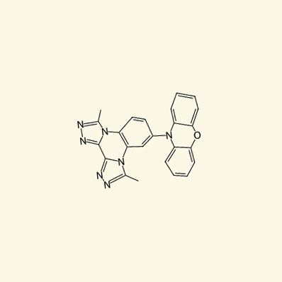 Cc1nnc2c3nnc(C)n3c3cc(N4c5ccccc5Oc5ccccc54)ccc3n12